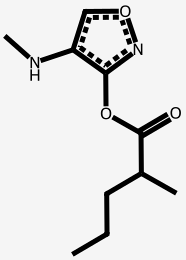 CCCC(C)C(=O)Oc1nocc1NC